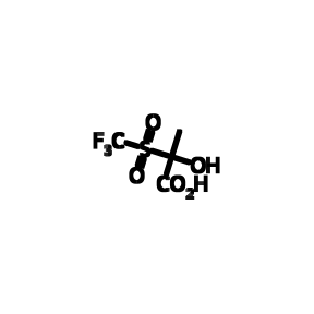 CC(O)(C(=O)O)S(=O)(=O)C(F)(F)F